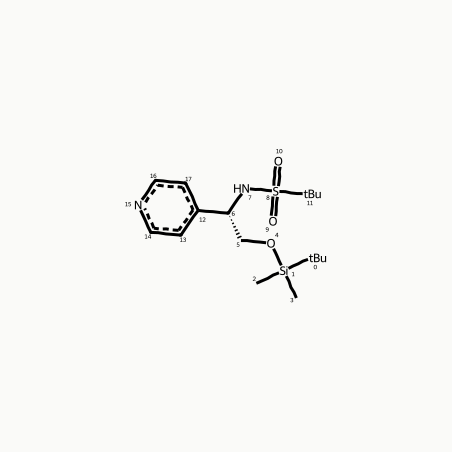 CC(C)(C)[Si](C)(C)OC[C@@H](NS(=O)(=O)C(C)(C)C)c1ccncc1